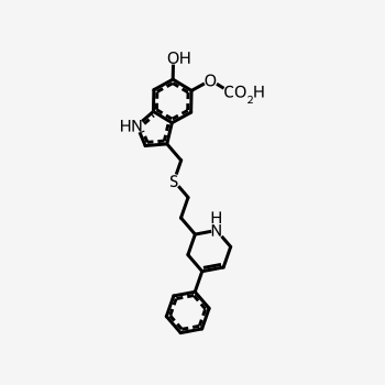 O=C(O)Oc1cc2c(CSCCC3CC(c4ccccc4)=CCN3)c[nH]c2cc1O